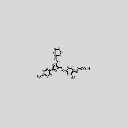 CCc1cc(SCc2sc(-c3ccc(C(F)(F)F)cc3)nc2COC2CCCCO2)ccc1OCC(=O)O